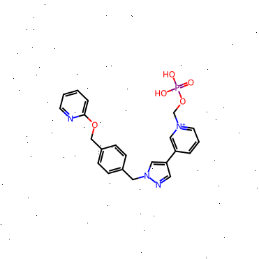 O=P(O)(O)OC[n+]1cccc(-c2cnn(Cc3ccc(COc4ccccn4)cc3)c2)c1